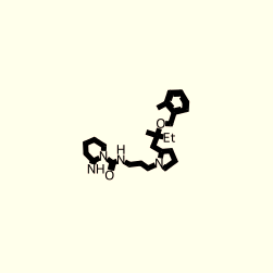 CCC(C)(CC1CCCN1CCCNC(=O)N1CCCCC1=N)OCc1ccccc1C